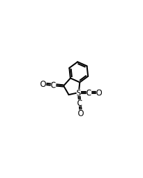 O=C=C1CS(=C=O)(=C=O)c2ccccc21